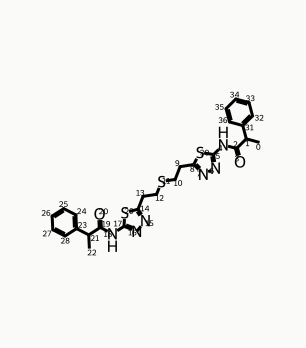 CC(C(=O)Nc1nnc(CCSCCc2nnc(NC(=O)C(C)c3ccccc3)s2)s1)c1ccccc1